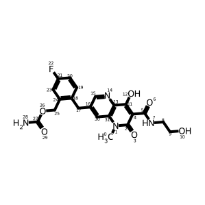 Cn1c(=O)c(C(=O)NCCO)c(O)c2ncc(Cc3ccc(F)cc3COC(N)=O)cc21